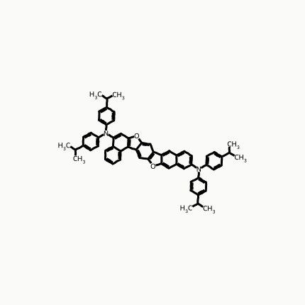 CC(C)c1ccc(N(c2ccc(C(C)C)cc2)c2ccc3cc4c(cc3c2)oc2cc3c(cc24)oc2cc(N(c4ccc(C(C)C)cc4)c4ccc(C(C)C)cc4)c4ccccc4c23)cc1